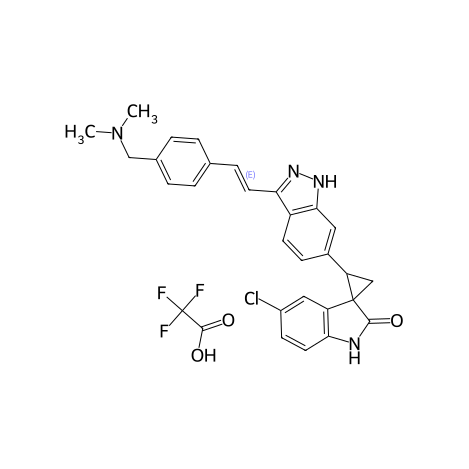 CN(C)Cc1ccc(/C=C/c2n[nH]c3cc(C4CC45C(=O)Nc4ccc(Cl)cc45)ccc23)cc1.O=C(O)C(F)(F)F